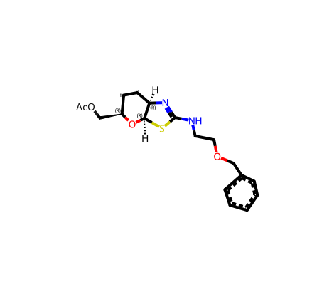 CC(=O)OC[C@H]1[C][C][C@H]2N=C(NCCOCc3ccccc3)S[C@H]2O1